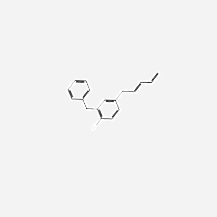 C=CC=CCc1ccc(F)c(Cc2ccccc2)c1